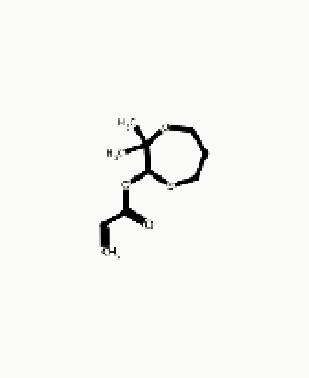 C=CC(=O)OC1SCCCOC1(C)C